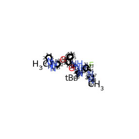 C[C@H]1CCCCN1c1nnc2ccc(O[C@@H]3CC[C@H](NC(=O)Nc4cc(C(C)(C)C)nn4-c4ccc(F)c(CN5CCN(C)CC5)c4)c4ccccc43)cn12